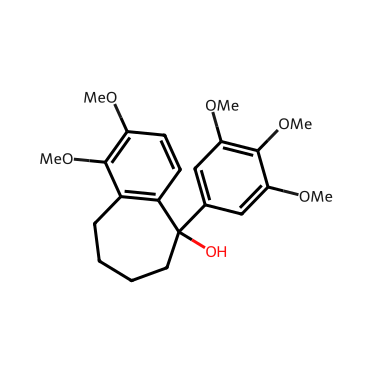 COc1cc(C2(O)CCCCc3c2ccc(OC)c3OC)cc(OC)c1OC